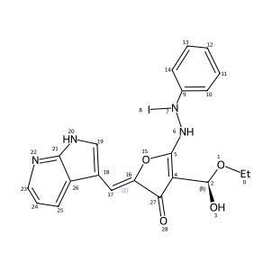 CCO[C@@H](O)C1=C(NN(I)c2ccccc2)O/C(=C\c2c[nH]c3ncccc23)C1=O